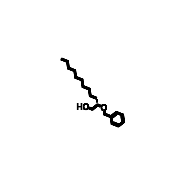 CCCCCCCCCC[C@@H](CO)OCc1ccccc1